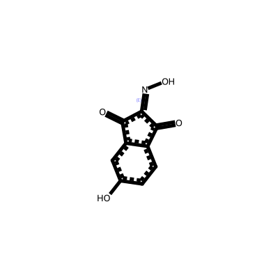 O=c1/c(=N\O)c(=O)c2cc(O)ccc12